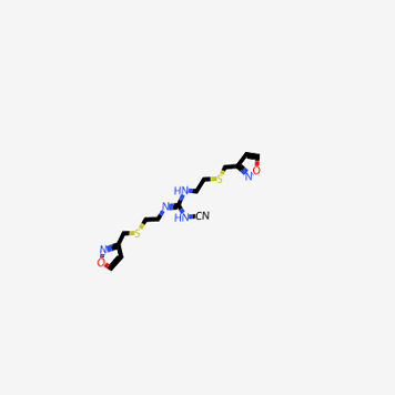 N#CN/C(=N\CCSCc1ccon1)NCCSCc1ccon1